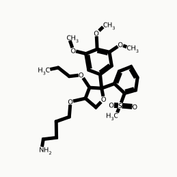 CCCOC1C(OCCCCN)COC1(c1cc(OC)c(OC)c(OC)c1)c1ccccc1S(C)(=O)=O